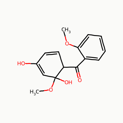 COc1ccccc1C(=O)C1C=CC(O)=CC1(O)OC